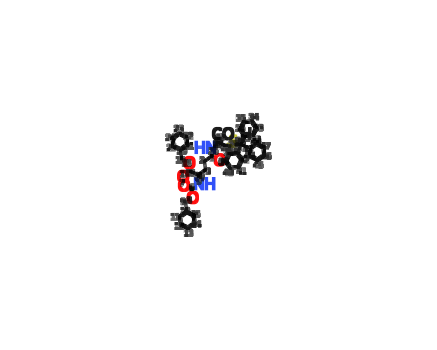 O=C(CC[C@@H](NC(=O)OCc1ccccc1)C(=O)OCc1ccccc1)N[C@@H](CSC(c1ccccc1)(c1ccccc1)c1ccccc1)C(=O)O